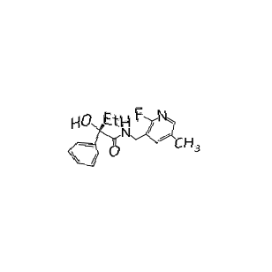 CC[C@@](O)(C(=O)NCc1cc(C)cnc1F)c1ccccc1